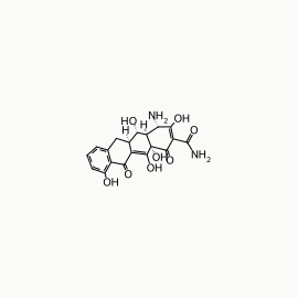 NC(=O)C1=C(O)[C@@H](N)[C@@H]2[C@@H](O)[C@@H]3Cc4cccc(O)c4C(=O)C3=C(O)[C@]2(O)C1=O